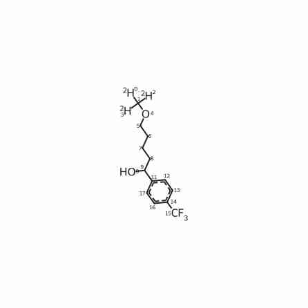 [2H]C([2H])([2H])OCCCCC(O)c1ccc(C(F)(F)F)cc1